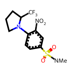 CNS(=O)(=O)c1ccc(N2CCCC2C(F)(F)F)c([N+](=O)[O-])c1